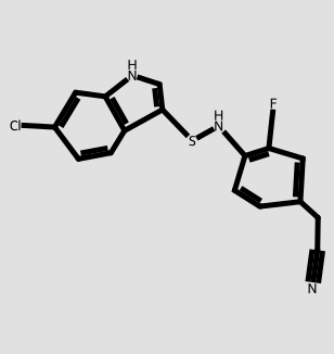 N#CCc1ccc(NSc2c[nH]c3cc(Cl)ccc23)c(F)c1